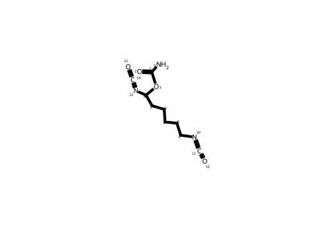 NC(=O)OC(CCCCCN=C=O)N=C=O